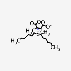 C/C(C(=O)[O-])=C(\C)C(=O)[O-].CCCCC[CH2][Sn+2][CH2]CCCCC